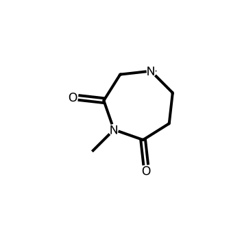 CN1C(=O)CC[N]CC1=O